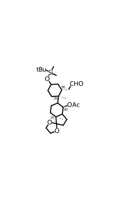 CC(=O)O[C@H]1C2CCC3(OCCO3)[C@@]2(C)CCC1[C@@]1(C)CCC(O[Si](C)(C)C(C)(C)C)C[C@@H]1CC=O